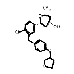 C[C@@H]1C[C@H](O)C[C@H](c2ccc(Cl)c(Cc3ccc(OC4CCOC4)cc3)c2)O1